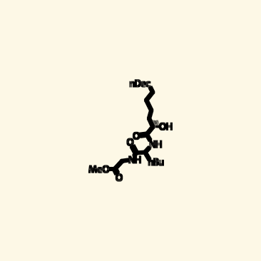 CCCCCCCCCCCCCC[C@H](O)C(=O)NC(CCCC)C(=O)NCC(=O)OC